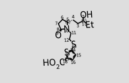 CC[C@H](O)CC[C@H]1CCC(=O)N1CCSc1ccc(C(=O)O)s1